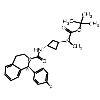 CN(C(=O)OC(C)(C)C)[C@H]1C[C@H](NC(=O)N2CCc3ccccc3[C@@H]2c2ccc(F)cc2)C1